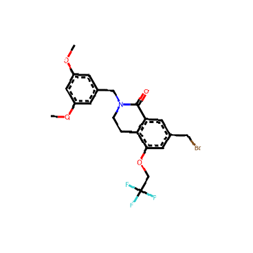 COc1cc(CN2CCc3c(OCC(F)(F)F)cc(CBr)cc3C2=O)cc(OC)c1